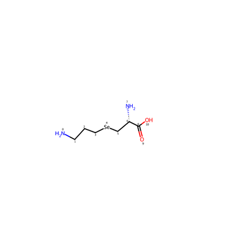 NCCC[Se]C[C@H](N)C(=O)O